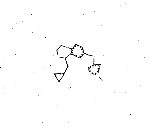 Cl.Cn1cc(Nc2ccc3c(c2)C(CC2CC2)NCC3)cn1